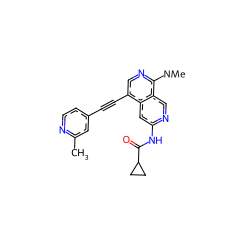 CNc1ncc(C#Cc2ccnc(C)c2)c2cc(NC(=O)C3CC3)ncc12